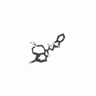 CN1CCc2c(Cl)ccc3oc(C(O)Cc4nc5ccccc5o4)c(c23)C1